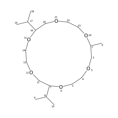 CC1COCCOC(C(C)C)COCCOC(C(C)C)COCCO1